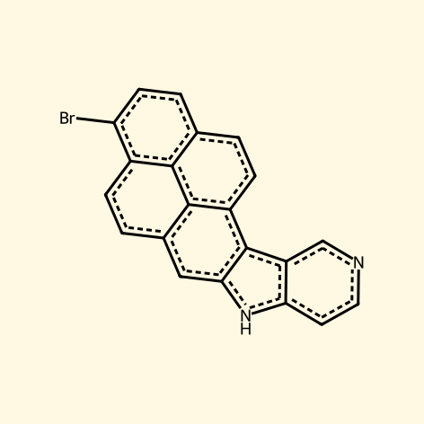 Brc1ccc2ccc3c4c(cc5ccc1c2c53)[nH]c1ccncc14